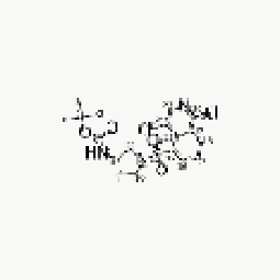 CC(C)(C)OC(=O)N[C@@H]1CCN(S(=O)(=O)c2cccc3c(Cl)ncc(Cl)c23)C1